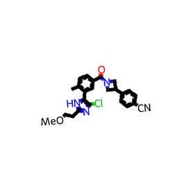 COCCc1nc(Cl)c(-c2cc(C(=O)N3CC(c4ccc(C#N)cc4)C3)ccc2C)[nH]1